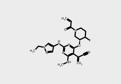 C=CC(=O)N1CCC(F)[C@@H](Oc2nc(Nc3cnn(CC)c3)nc(NC)c2C(=C)C#N)C1